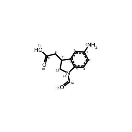 Nc1ccc2c(c1)C(CC(=O)O)CN2C=O